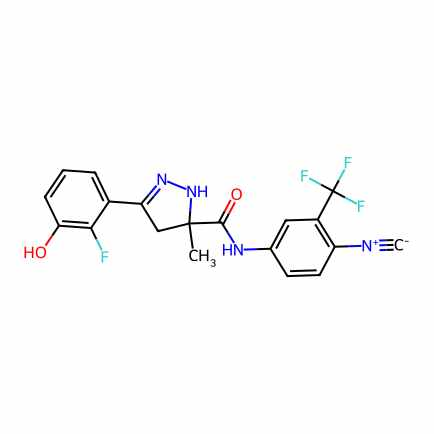 [C-]#[N+]c1ccc(NC(=O)C2(C)CC(c3cccc(O)c3F)=NN2)cc1C(F)(F)F